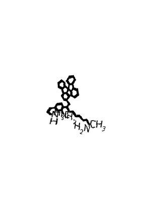 CC(/C=C/CCCC(C)N)=C(/Cc1ccc2c(c1)C1(c3ccccc3-c3ccccc31)c1ccccc1-2)c1ccc2c(c1N)NCC=C2